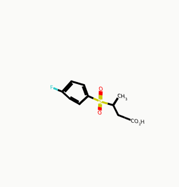 CC(CC(=O)O)S(=O)(=O)c1ccc(F)cc1